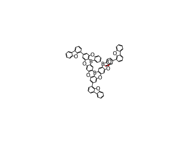 c1ccc2c(c1)Oc1cc(-c3cccc4c3oc3ccccc34)cc3c1B2c1cc2c(cc1O3)Oc1cc(-c3cccc4c3oc3ccccc34)cc3c1B2c1cc2c(cc1O3)Oc1cc(-c3cccc4c3oc3ccccc34)cc3c1B2c1ccccc1O3